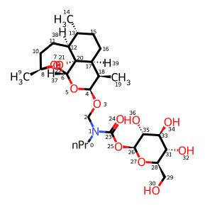 CCCN(CO[C@H]1O[C@@H]2O[C@@]3(C)CC[C@H]4[C@H](C)CC[C@@H]([C@H]1C)[C@@]24OO3)C(=O)O[C@@H]1O[C@H](CO)[C@@H](O)[C@H](O)[C@H]1O